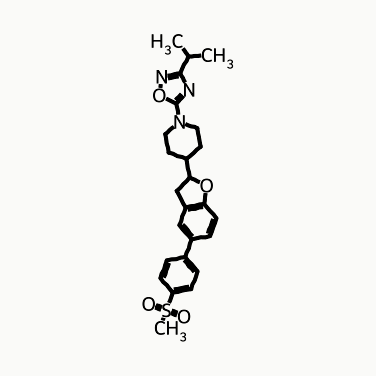 CC(C)c1noc(N2CCC(C3Cc4cc(-c5ccc(S(C)(=O)=O)cc5)ccc4O3)CC2)n1